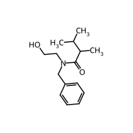 CC(C)C(C)C(=O)N(CCO)Cc1ccccc1